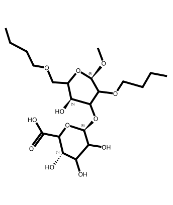 CCCCOCC1O[C@@H](OC)C(OCCCC)C(O[C@@H]2OC(C(=O)O)[C@@H](O)C(O)C2O)[C@H]1O